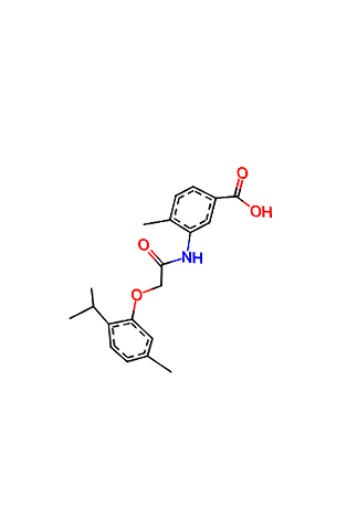 Cc1ccc(C(C)C)c(OCC(=O)Nc2cc(C(=O)O)ccc2C)c1